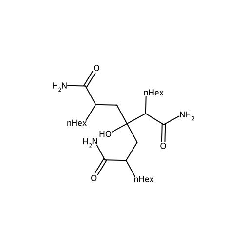 CCCCCCC(CC(O)(CC(CCCCCC)C(N)=O)C(CCCCCC)C(N)=O)C(N)=O